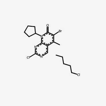 CCCCCCl.Cc1c(Br)c(=O)n(C2CCCC2)c2nc(Cl)ncc12